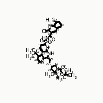 Cc1cccc2cc(C(=O)NS(=O)(=O)c3cccc(NC(CC[C@@H]4CN(C(=O)OC(C)(C)C)C(C)(C)C4)c4cc(C(C)(C)C)ccn4)n3)c(Cl)nc12